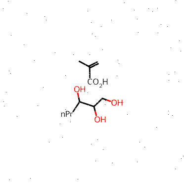 C=C(C)C(=O)O.CCCC(O)C(O)CO